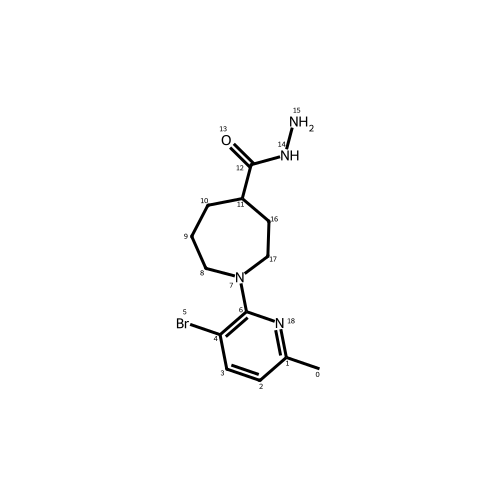 Cc1ccc(Br)c(N2CCCC(C(=O)NN)CC2)n1